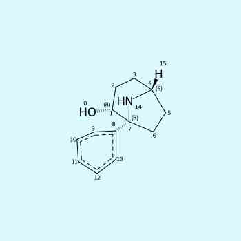 O[C@@H]1CC[C@@H]2CC[C@]1(c1ccccc1)N2